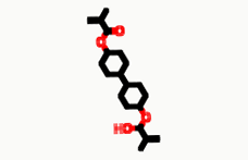 C=C(C)C(=O)OC1CCC(C2CCC(OC(O)C(=C)C)CC2)CC1